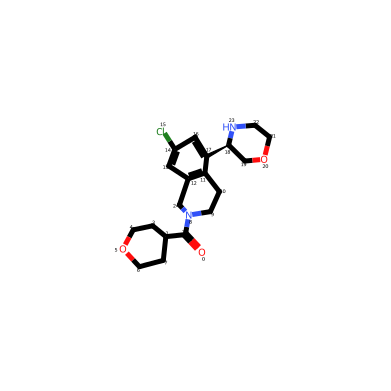 O=C(C1CCOCC1)N1CCc2c(cc(Cl)cc2[C@@H]2COCCN2)C1